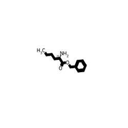 CCCC[C@H](N)C(=O)OCc1ccccc1